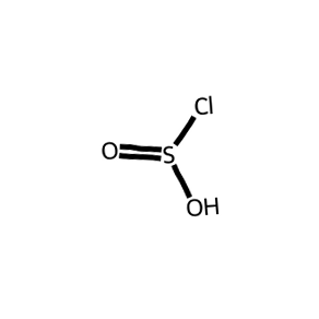 O=S(O)Cl